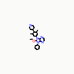 CCOC1N(c2ccccc2)c2nccnc2N1c1cc(C)c(-c2ccncc2)c(C)c1